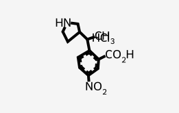 CC(c1ccc([N+](=O)[O-])cc1C(=O)O)C1CCNC1.Cl